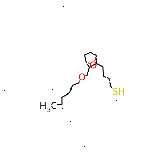 CCCCCCOCC1C2CCC(O2)C1CCCCS